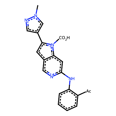 CC(=O)c1ccccc1Nc1cc2c(cn1)cc(-c1cnn(C)c1)n2C(=O)O